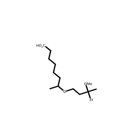 CCC(C)(CCOC(C)CCCCCC(=O)O)OC